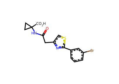 O=C(Cc1csc(-c2cccc(Br)c2)n1)NC1(C(=O)O)CC1